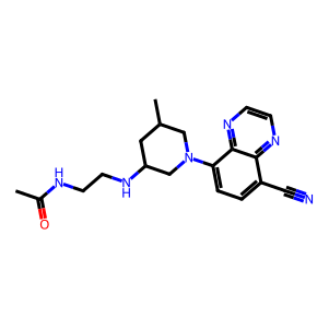 CC(=O)NCCNC1CC(C)CN(c2ccc(C#N)c3nccnc23)C1